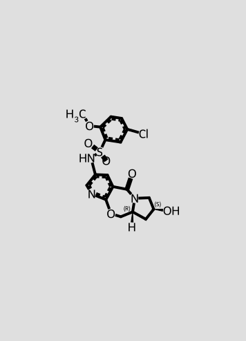 COc1ccc(Cl)cc1S(=O)(=O)Nc1cnc2c(c1)C(=O)N1C[C@@H](O)C[C@@H]1CO2